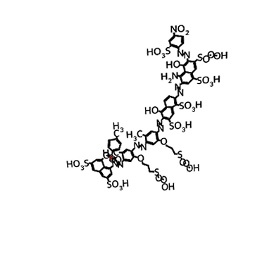 Cc1ccc(S(=O)(=O)Oc2cc(S(=O)(=O)O)cc3cc(S(=O)(=O)O)cc(N=Nc4cc(OCCCSOOO)c(N=Nc5cc(OCCCSOOO)c(N=Nc6c(S(=O)(=O)O)cc7c(S(=O)(=O)O)c(N=Nc8cc(S(=O)(=O)O)c9cc(SOOO)c(N=Nc%10ccc([N+](=O)[O-])cc%10S(=O)(=O)O)c(O)c9c8N)ccc7c6O)cc5C)cc4C)c23)cc1